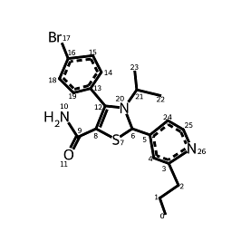 CCCc1cc(C2SC(C(N)=O)=C(c3ccc(Br)cc3)N2C(C)C)ccn1